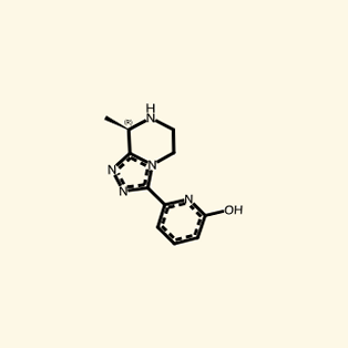 C[C@H]1NCCn2c(-c3cccc(O)n3)nnc21